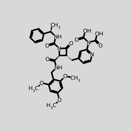 COc1cc(OC)c(CNC(=O)[C@@H]2[C@@H](Cc3ccnc(N(C(=O)O)C(=O)O)c3)C(=O)N2C(=O)N[C@H](C)c2ccccc2)c(OC)c1